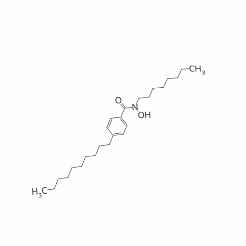 CCCCCCCCCCc1ccc(C(=O)N(O)CCCCCCCC)cc1